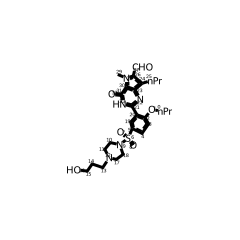 CCCOc1ccc(S(=O)(=O)N2CCN(CCCO)CC2)cc1-c1nc2c(CCC)c(C=O)n(C)c2c(=O)[nH]1